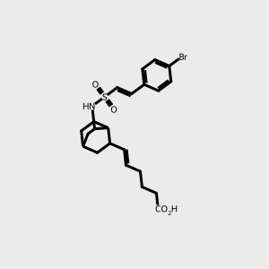 O=C(O)CCCC=CC1CC2CCC1C(NS(=O)(=O)C=Cc1ccc(Br)cc1)C2